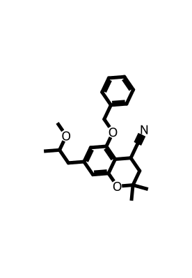 COC(C)Cc1cc(OCc2ccccc2)c2c(c1)OC(C)(C)CC2C#N